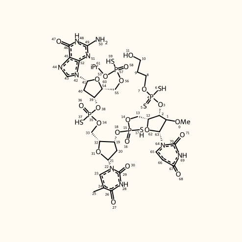 COC1[C@@H](OP(=S)(S)OCCCO)[C@@H](COP(=O)(S)O[C@@H]2C[C@H](n3cc(C)c(=O)[nH]c3=O)O[C@@H]2COP(=O)(S)O[C@@H]2C[C@H](n3cnc4c(=O)[nH]c(N)nc43)O[C@@H]2COP(=O)(S)OC(C)C)O[C@H]1n1ccc(=O)[nH]c1=O